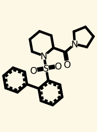 O=C(C1CCCCN1S(=O)(=O)c1ccccc1-c1ccccc1)N1CCCC1